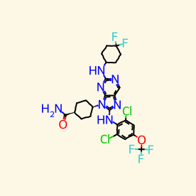 NC(=O)[C@H]1CC[C@@H](n2c(Nc3c(Cl)cc(OC(F)(F)F)cc3Cl)nc3cnc(NC4CCC(F)(F)CC4)nc32)CC1